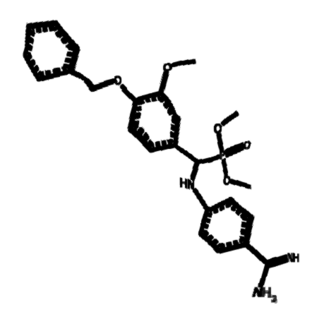 COc1cc(C(Nc2ccc(C(=N)N)cc2)P(=O)(OC)OC)ccc1OCc1ccccc1